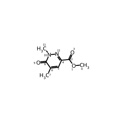 COC(=O)c1cc(C)c(=O)n(C)n1